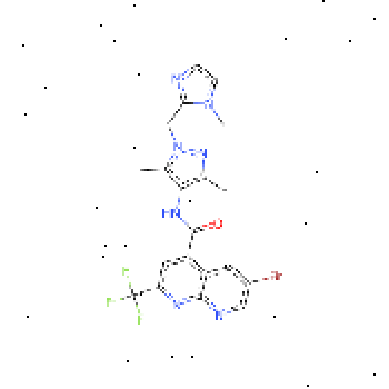 Cc1nn(Cc2nccn2C)c(C)c1NC(=O)c1cc(C(F)(F)F)nc2ncc(Br)cc12